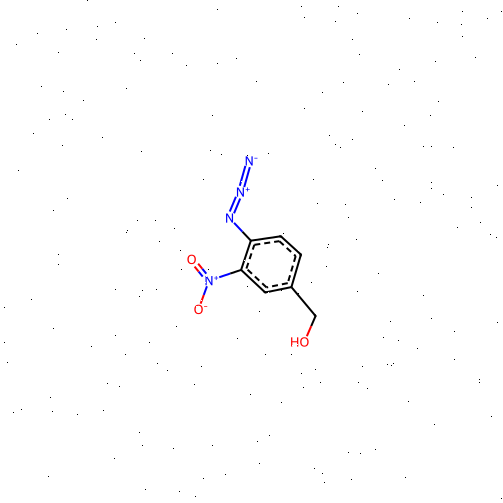 [N-]=[N+]=Nc1ccc(CO)cc1[N+](=O)[O-]